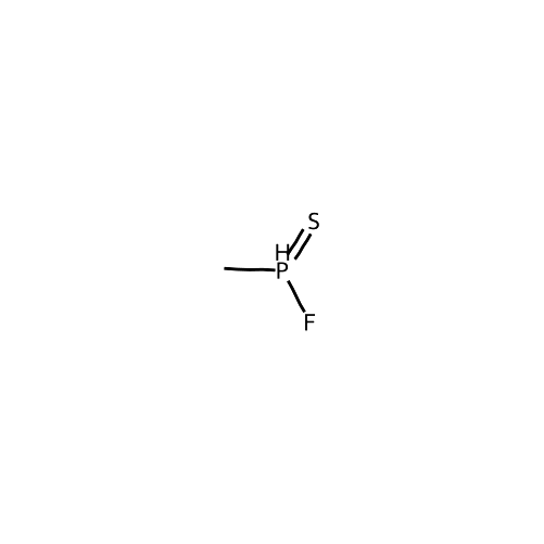 C[PH](F)=S